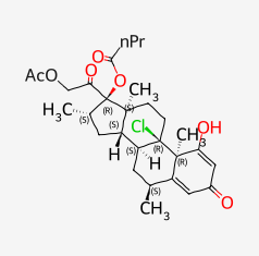 CCCC(=O)O[C@]1(C(=O)COC(C)=O)[C@@H](C)C[C@H]2[C@@H]3C[C@H](C)C4=CC(=O)C=C(O)[C@]4(C)[C@@]3(Cl)CC[C@@]21C